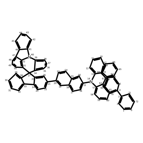 c1ccc(-c2ccc(-c3ccccc3N(c3ccc4cc(-c5ccc6c(c5)C5(c7ccccc7-6)c6ccccc6-n6c7ccccc7c7cccc5c76)ccc4c3)c3ccccc3-c3ccccc3)cc2)cc1